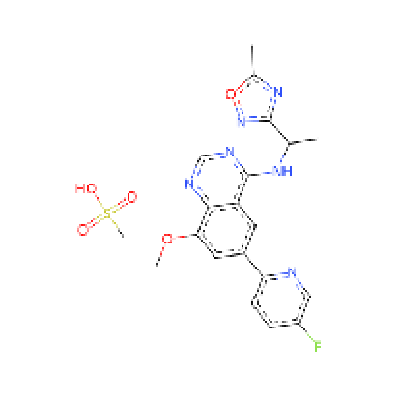 COc1cc(-c2ccc(F)cn2)cc2c(NC(C)c3noc(C)n3)ncnc12.CS(=O)(=O)O